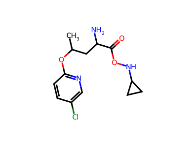 CC(CC(N)C(=O)ONC1CC1)Oc1ccc(Cl)cn1